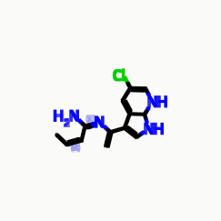 C=C(/N=C(N)\C=C/C)C1=CNC2NC=C(Cl)C=C12